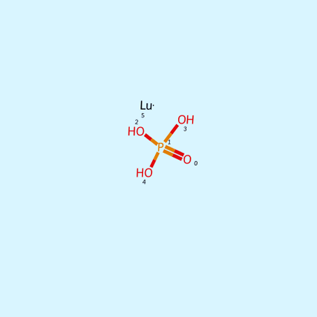 O=P(O)(O)O.[Lu]